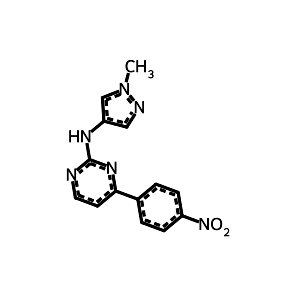 Cn1cc(Nc2nccc(-c3ccc([N+](=O)[O-])cc3)n2)cn1